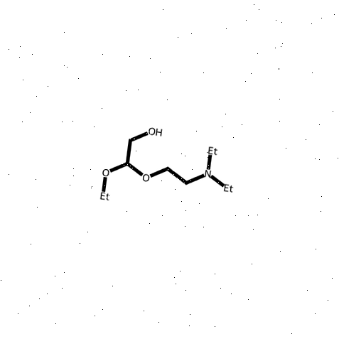 CCOC(CO)OCCN(CC)CC